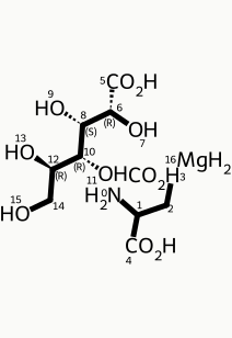 NC(CC(=O)O)C(=O)O.O=C(O)[C@H](O)[C@@H](O)[C@H](O)[C@H](O)CO.[MgH2]